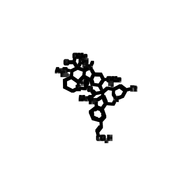 CCC1=C[C@H]2CN(C1)CC1=C(Bc3ccc(/C=C/C(=O)O)cc31)[C@@](C(=O)OC)(C1C=C3C(=CC1OC)N(C)[C@H]1[C@@](O)(C(=O)OC)[C@H](OC(C)=O)[C@]4(CC)C=CCN5CC[C@]31[C@@H]54)C2